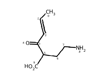 CC=CC(=O)C(CCN)C(=O)O